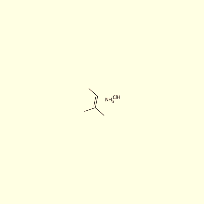 CC=C(C)C.Cl.N